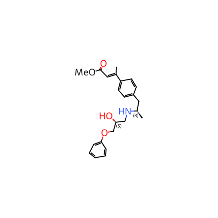 COC(=O)C=C(C)c1ccc(C[C@@H](C)NC[C@H](O)COc2ccccc2)cc1